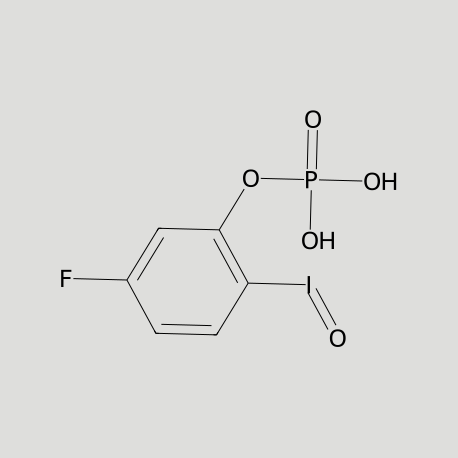 O=Ic1ccc(F)cc1OP(=O)(O)O